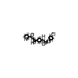 CC(C)(Oc1ccc(Cl)cc1)C(=O)Nc1ccc(C(=O)CNC(=O)c2cccnc2)cc1